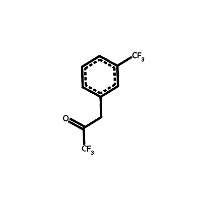 O=C(Cc1cccc(C(F)(F)F)c1)C(F)(F)F